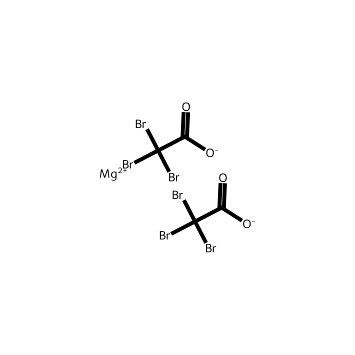 O=C([O-])C(Br)(Br)Br.O=C([O-])C(Br)(Br)Br.[Mg+2]